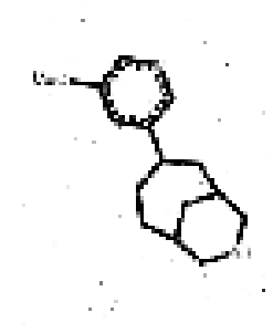 COc1cncc(C2CCC3CNCC(C3)C2)c1